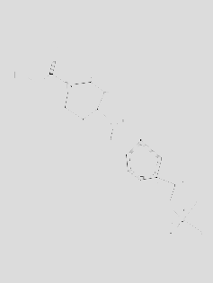 CC(C)(C)OC(=O)N1CCC(OCc2ccc(CO[Si](C)(C)C(C)(C)C)cc2)CC1